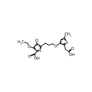 CCOc1c(C(=O)O)sc(CCCOc2cc(C)sc2CC(=O)O)c1Cl